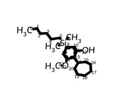 CCCCCC[Si](C)(C)c1cc(O)c(C2CCCCCC2)c(OC)c1